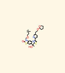 CC(O)(c1ccc2c(c1)sc(=O)n2COCC[Si](C)(C)C)c1nc(-c2ccc(CCOC3CCCCO3)cn2)cs1